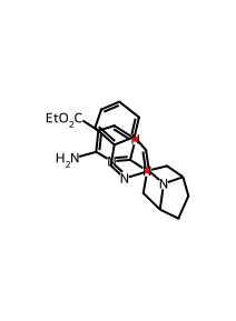 CCOC(=O)c1cnc(N2CC3CCC(C2)N3c2cc3ccccc3cn2)nc1N